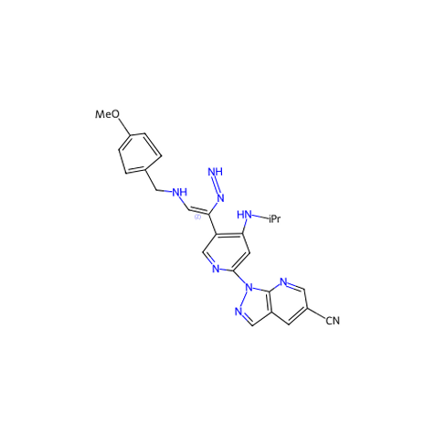 COc1ccc(CN/C=C(\N=N)c2cnc(-n3ncc4cc(C#N)cnc43)cc2NC(C)C)cc1